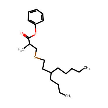 CCCCCC(CCCC)CCSCC(C)C(=O)Oc1ccccc1